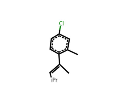 C/C(=C\C(C)C)c1ccc(Cl)cc1C